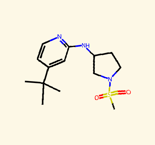 CC(C)(C)c1ccnc(NC2CCN(S(C)(=O)=O)C2)c1